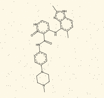 Cc1nc2c(Nc3cc[nH]c(=O)c3C(=O)Nc3ccc(N4CCN(C)CC4)cc3)c(C)ccc2[nH]1